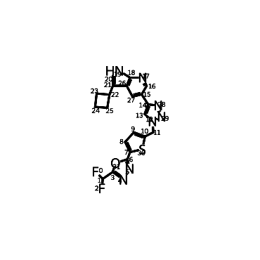 FC(F)c1nnc(-c2ccc(Cn3cc(-c4cnc5[nH]cc(C6CCC6)c5c4)nn3)s2)o1